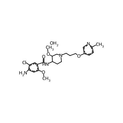 COc1cc(N)c(Cl)cc1C(=O)NC1CCN(CCCOc2ccc(C)nc2)CC1OC.O